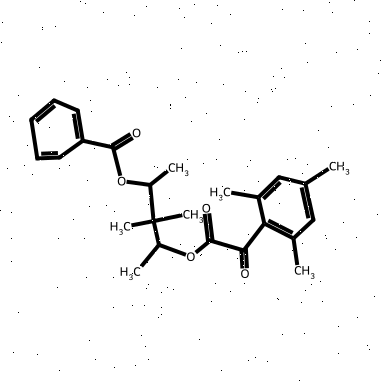 Cc1cc(C)c(C(=O)C(=O)OC(C)C(C)(C)C(C)OC(=O)c2ccccc2)c(C)c1